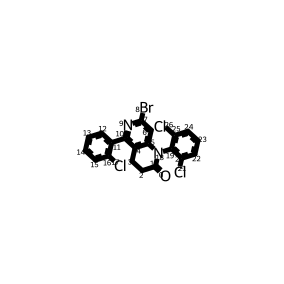 O=C1CCc2c(cc(Br)nc2-c2ccccc2Cl)N1c1c(Cl)cccc1Cl